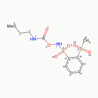 COCCNC(=O)ONS(=O)(=O)c1ccccc1S(C)(=O)=O